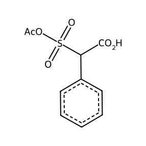 CC(=O)OS(=O)(=O)C(C(=O)O)c1ccccc1